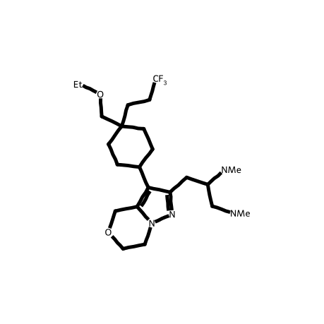 CCOCC1(CCC(F)(F)F)CCC(c2c(CC(CNC)NC)nn3c2COCC3)CC1